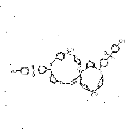 O=S1(=O)c2ccc(cc2)OC(c2ccc(S(=O)(=O)c3ccc(O)cc3)cc2)c2cccc(c2)CCc2cccc(c2)C2(Cc3cccc(c3)C(c3ccc(S(=O)(=O)c4ccc(O)cc4)cc3)Oc3ccc(cc3)S(=O)(=O)c3ccc(cc3)O2)Oc2ccc1cc2